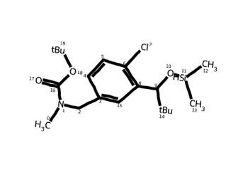 CN(Cc1ccc(Cl)c(C(O[SiH](C)C)C(C)(C)C)c1)C(=O)OC(C)(C)C